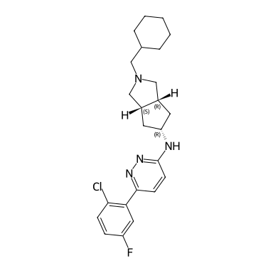 Fc1ccc(Cl)c(-c2ccc(N[C@@H]3C[C@@H]4CN(CC5CCCCC5)C[C@@H]4C3)nn2)c1